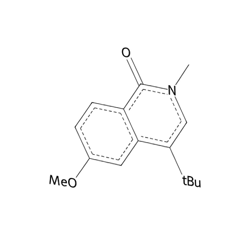 COc1ccc2c(=O)n(C)cc(C(C)(C)C)c2c1